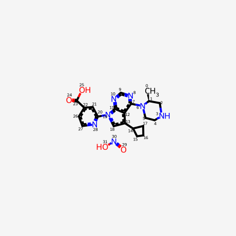 C[C@H]1CNCCN1c1ncnc2c1c(C1CCC1)cn2-c1cc(C(=O)O)ccn1.O=NO